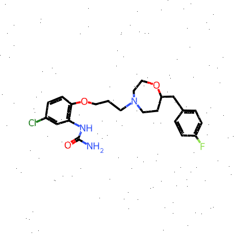 NC(=O)Nc1cc(Cl)ccc1OCCCN1CCOC(Cc2ccc(F)cc2)CC1